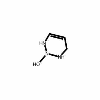 ON1NC=CCN1